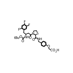 CC(C)(C)OC(=O)NC(CC(=O)N1CCSC1C(=O)NCc1ccc(OCC(=O)O)cc1)Cc1cc(F)c(F)cc1F